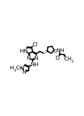 C=CC(=O)N[C@H]1CC[C@@H](CCc2nc(Nc3cnn(C)c3)nc3[nH]cc(Cl)c23)C1